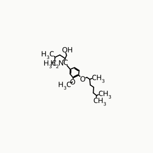 COc1cc(CC[C@@](N)(CO)CC(C)C)ccc1OCC(C)CCCC(C)C